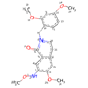 CONc1cc2c(=O)n(Cc3ccc(OC)cc3OC)ccc2cc1OC